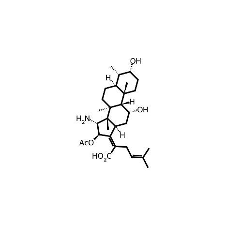 CC(=O)O[C@@H]1/C(=C(/CC=C(C)C)C(=O)O)[C@@H]2C[C@@H](O)[C@H]3[C@@]4(C)CC[C@@H](O)[C@@H](C)[C@@H]4CC[C@]3(C)[C@@]2(C)[C@H]1N